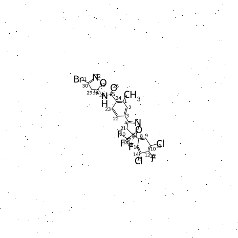 Cc1cc(C2=NO[C@@](c3cc(Cl)c(F)c(Cl)c3)(C(F)(F)F)C2)ccc1C(=O)N[C@@H]1CC(Br)=NO1